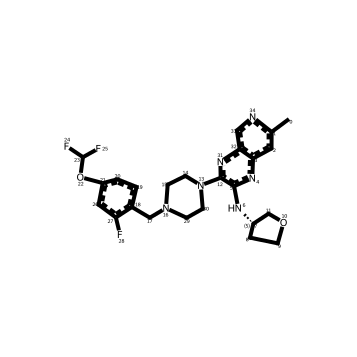 Cc1cc2nc(N[C@H]3CCOC3)c(N3CCN(Cc4ccc(OC(F)F)cc4F)CC3)nc2cn1